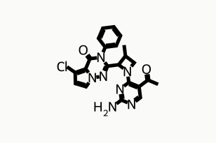 CC(=O)c1cnc(N)nc1N1CC(C)C1c1nn2ccc(Cl)c2c(=O)n1-c1ccccc1